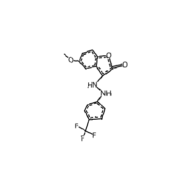 COc1ccc2oc(=O)cc(NNc3ccc(C(F)(F)F)cc3)c2c1